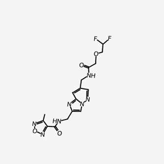 Cc1nonc1C(=O)NCc1cn2ncc(CNC(=O)COCC(F)F)cc2n1